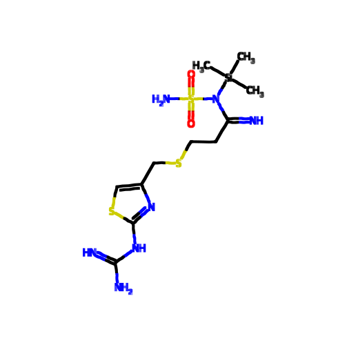 C[Si](C)(C)N(C(=N)CCSCc1csc(NC(=N)N)n1)S(N)(=O)=O